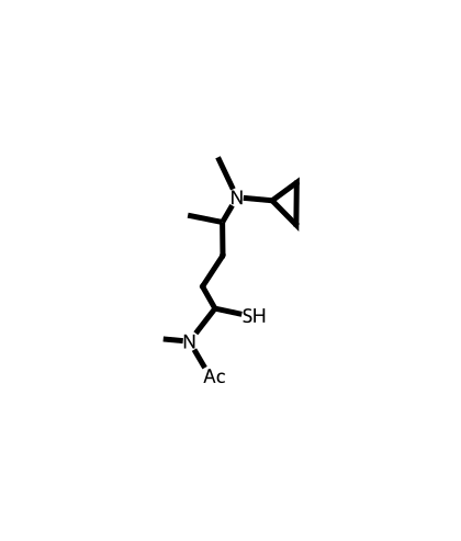 CC(=O)N(C)C(S)CCC(C)N(C)C1CC1